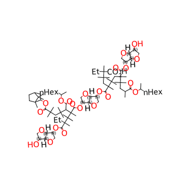 CCCCCCC(C)OC(=O)C(C)CC(C)(C)C(C)(CC(C)(C)C(C)(CC(C)(C)C(C)(CC)C(=O)O)C(=O)O[C@H]1CO[C@@H]2[C@H]1OC[C@H]2OC(=O)C(C)(C(C(=O)OC(C)CCCCCC)C(C)(C)CC(C)(C)C(=O)OC1CC2CCC1(C)C2(C)C)C(C)(C)C(C)(CC)C(=O)O[C@@H]1CO[C@H]2[C@@H]1OC[C@@H]2O)C(=O)O[C@@H]1CO[C@H]2[C@@H]1OC[C@@H]2O